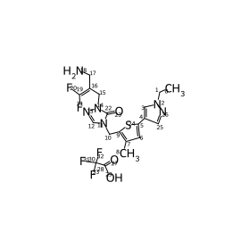 CCn1cc(-c2cc(C)c(Cn3cnn(CC(CN)=C(F)F)c3=O)s2)cn1.O=C(O)C(F)(F)F